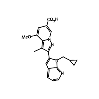 COc1cc(C(=O)O)cn2nc(-c3cc4cccnc4n3CC3CC3)c(C)c12